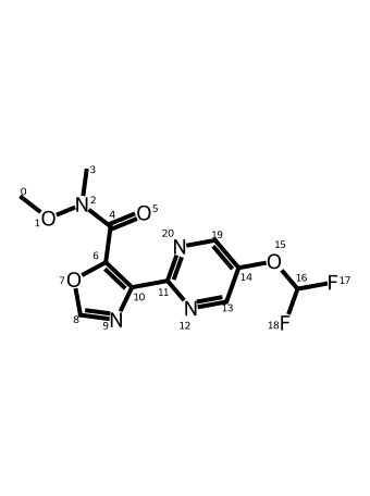 CON(C)C(=O)c1ocnc1-c1ncc(OC(F)F)cn1